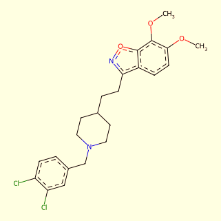 COc1ccc2c(CCC3CCN(Cc4ccc(Cl)c(Cl)c4)CC3)noc2c1OC